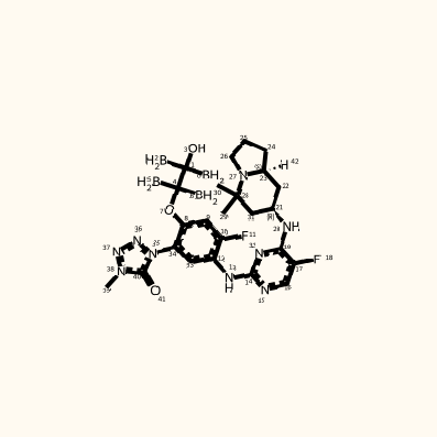 BC(B)(O)C(B)(B)Oc1cc(F)c(Nc2ncc(F)c(N[C@@H]3C[C@@H]4CCCN4C(C)(C)C3)n2)cc1-n1nnn(C)c1=O